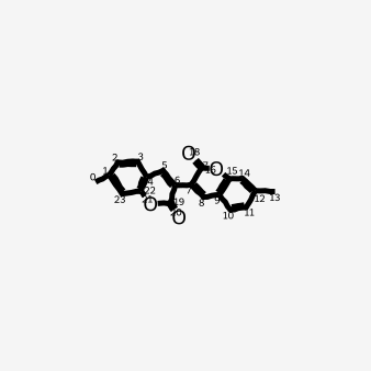 Cc1ccc2cc(-c3cc4ccc(C)cc4oc3=O)c(=O)oc2c1